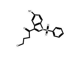 N#Cc1ccc2c(c1)c(C(=O)CCCCl)cn2S(=O)(=O)c1ccccc1